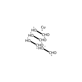 O=CO.O=CO.O=CO.O=CO.[Cu]